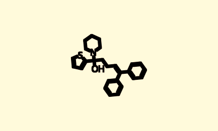 OC(CCC=C(c1ccccc1)c1ccccc1)(c1cccs1)N1CCCCC1